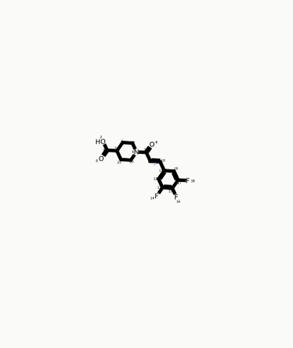 O=C(O)C1CCN(C(=O)/C=C/c2cc(F)c(F)c(F)c2)CC1